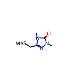 CSCc1nn(C)c(=O)n1C